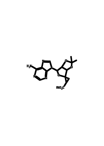 CCOC(=O)C1C[C@]12OC(n1cnc3c(N)ncnc31)C1OC(C)(C)OC12